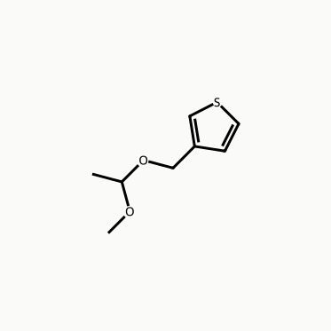 COC(C)OCc1ccsc1